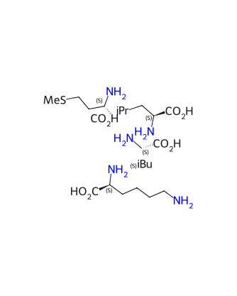 CC(C)C[C@H](N)C(=O)O.CC[C@H](C)[C@H](N)C(=O)O.CSCC[C@H](N)C(=O)O.NCCCC[C@H](N)C(=O)O